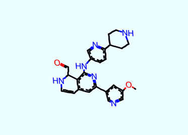 COc1cncc(-c2cc3c(c(Nc4ccc(C5CCNCC5)nc4)n2)C(C=O)NC=C3)c1